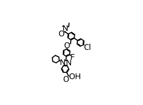 CCN(C)C(=O)c1ccc(-c2ccc(Cl)cc2)c(COc2ccc(-c3nc4cc(C(=O)O)ccc4n3C3CCCCC3)c(F)c2)c1